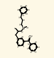 CC(Cc1cccc(C(=O)c2ccccc2)c1)CN(C)CCCc1ccccc1